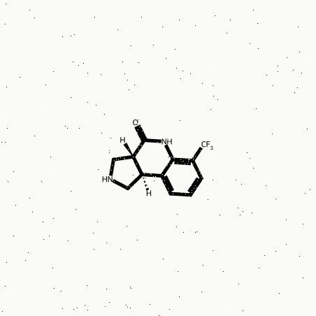 O=C1Nc2c(cccc2C(F)(F)F)[C@H]2CNC[C@H]12